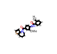 COc1cc(C(=O)N2CCCCc3sccc32)ccc1NC(=O)c1ccccc1C